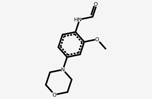 COc1cc(N2CCOCC2)ccc1NC=O